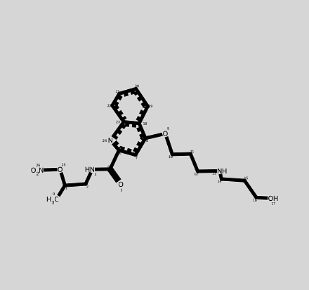 CC(CNC(=O)c1cc(OCCCNCCCO)c2ccccc2n1)O[N+](=O)[O-]